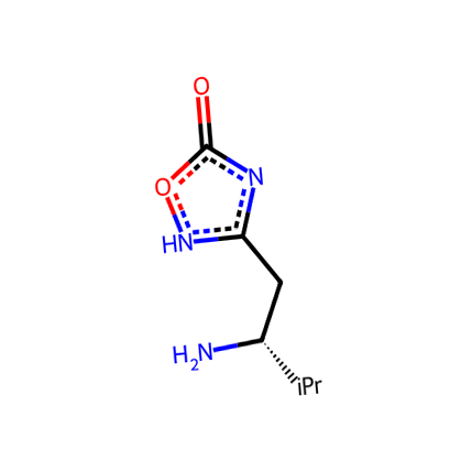 CC(C)[C@H](N)Cc1nc(=O)o[nH]1